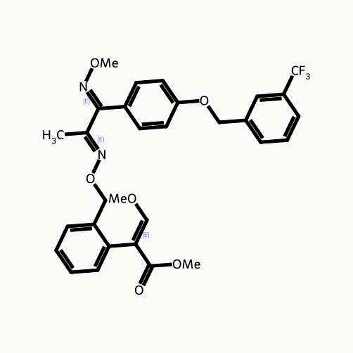 CO/C=C(/C(=O)OC)c1ccccc1CO/N=C(C)/C(=N/OC)c1ccc(OCc2cccc(C(F)(F)F)c2)cc1